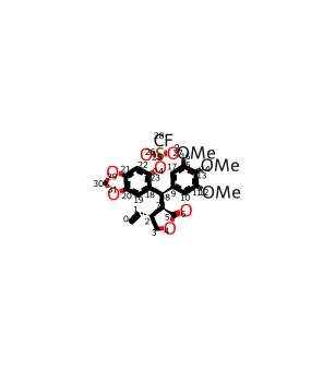 C=C[C@H]1COC(=O)[C@@H]1[C@H](c1cc(OC)c(OC)c(OC)c1)c1cc2c(cc1OS(=O)(=O)C(F)(F)F)OCO2